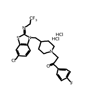 Cl.Cl.O=C(CN1CCC(Cn2c(=NCC(F)(F)F)sc3cc(Cl)ccc32)CC1)c1ccc(F)cc1